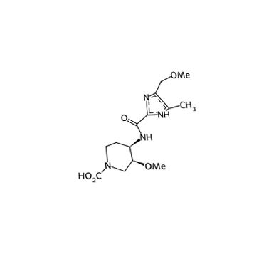 COCc1nc(C(=O)N[C@@H]2CCN(C(=O)O)C[C@@H]2OC)[nH]c1C